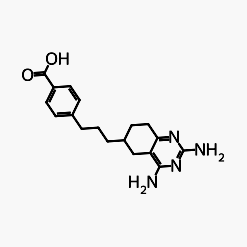 Nc1nc(N)c2c(n1)CCC(CCCc1ccc(C(=O)O)cc1)C2